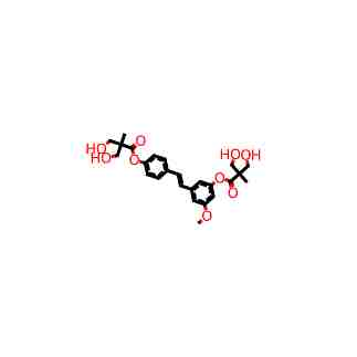 COc1cc(/C=C/c2ccc(OC(=O)C(C)(CO)CO)cc2)cc(OC(=O)C(C)(CO)CO)c1